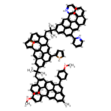 COc1ccc(-c2cc3cc(C)cc4cc(-c5ccc(OC)cc5)c5c6c(cc(CC(C)(C)c7cc8cc(-c9cccs9)c9cc%10cc(CC(C)(C)c%11cc%12cc(-c%13ccccn%13)c%13cc%14ccc%15ccccc%15c%14c%14c(-c%15ccccn%15)cc(c%11)c%12c%13%14)c%11ccccc%11c%10c%10c(-c%11cccs%11)cc(c7)c8c9%10)c7ccccc76)cc2c5c34)cc1